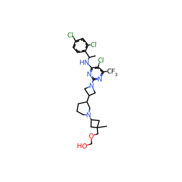 CC(Nc1nc(N2CC(C3CCCN(C4CC(C)(COCO)C4)C3)C2)nc(C(F)(F)F)c1Cl)c1ccc(Cl)cc1Cl